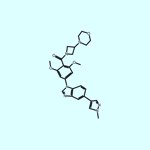 COc1cc(-n2cnc3cc(-c4cnn(C)c4)ccc32)cc(OC)c1C(=O)N1CC(N2CCOCC2)C1